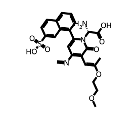 C=Nc1cc(-c2cccc3ccc(S(=O)(=O)O)cc23)n([C@H](N)C(=O)O)c(=O)c1/C=C(\C)OCCOC